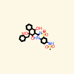 CS(=O)(=O)Nc1ccc2c(c1)S(=O)(=O)N=C(C1=C(O)c3ccccc3C(O)(Cc3ccccc3)C1=O)N2